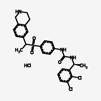 CC(c1ccc2c(c1)CCNC2)S(=O)(=O)c1ccc(NC(=O)N[C@@H](C)c2cccc(Cl)c2Cl)cc1.Cl